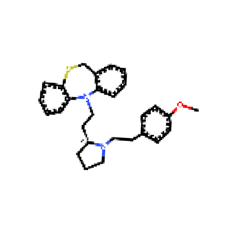 COc1ccc(CCN2CCC[C@H]2CCN2c3ccccc3CSc3ccccc32)cc1